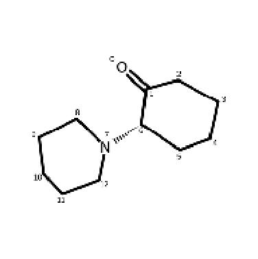 O=C1CCCC[C@@H]1N1CCCCC1